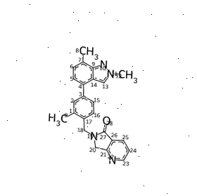 Cc1cc(-c2ccc(C)c3nn(C)cc23)ccc1CN1Cc2ncccc2C1=O